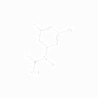 Cc1cc(Br)cc(N(F)C(=O)O)c1